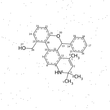 CC1=CC(C)(C)Nc2ccc3c(c21)C(c1ccccc1)Oc1cccc(CO)c1-3